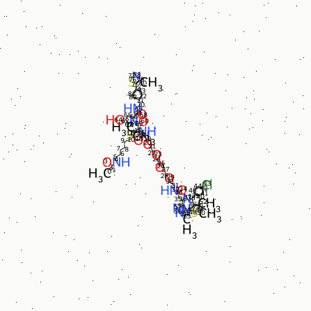 CCC(=O)NCCCCCCSC(C)(C)[C@H](NC(=O)COCCOCCOCCOCCNC(=O)C[C@@H]1N=C(c2ccc(Cl)cc2)c2c(sc(C)c2C)-n2c(C)nnc21)C(=O)N1C[C@H](O)C[C@H]1C(=O)NCc1ccc(-c2scnc2C)cc1